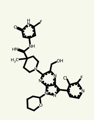 CC1(C(=N)Nc2cc(F)[nH]c(=O)c2)CCN(c2nc3c(nc2CO)c(-c2ccnc(F)c2Cl)nn3C2CCCCO2)CC1